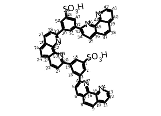 O=S(=O)(O)c1cc(-c2ccc3ccc4cccnc4c3n2)cc(-c2ccc3ccc4ccc(-c5cc(-c6ccc7ccc8cccnc8c7n6)cc(S(=O)(=O)O)c5)nc4c3n2)c1